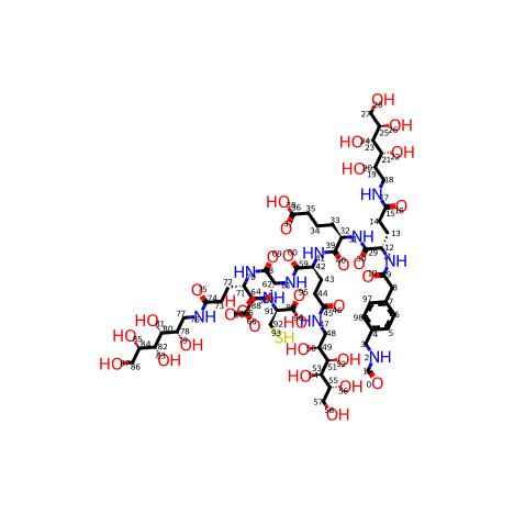 O=CNCc1ccc(CC(=O)N[C@@H](CCC(=O)NC[C@H](O)[C@@H](O)[C@H](O)[C@H](O)CO)C(=O)N[C@H](CCCC(=O)O)C(=O)N[C@@H](CCC(=O)NC[C@H](O)[C@@H](O)[C@H](O)[C@H](O)CO)C(=O)N[C@H](CCC(=O)O)C(=O)N[C@@H](CCC(=O)NC[C@H](O)[C@@H](O)[C@H](O)[C@H](O)CO)C(=O)N[C@H](CS)C(=O)O)cc1